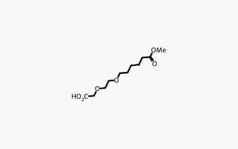 COC(=O)CCCCCOCCOCC(=O)O